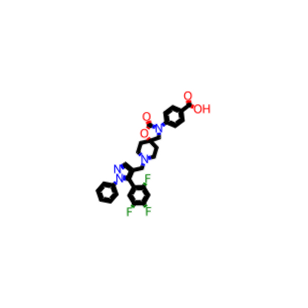 O=C(O)c1ccc(N2CC3(CCN(Cc4cnn(-c5ccccc5)c4-c4cc(F)c(F)cc4F)CC3)OC2=O)cc1